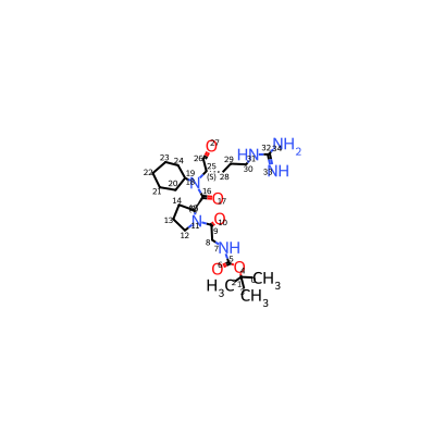 CC(C)(C)OC(=O)NCC(=O)N1CCC[C@H]1C(=O)N(C1CCCCC1)[C@H](C=O)CCCNC(=N)N